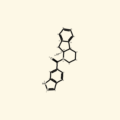 O=C(c1ccc2cn[nH]c2c1)N1CCCC2c3ccccc3C[C@@H]21